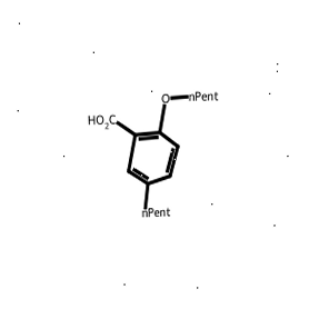 CCCCCOc1ccc(CCCCC)cc1C(=O)O